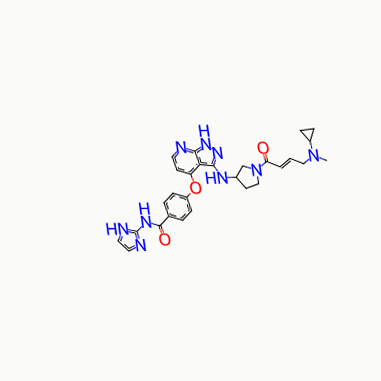 CN(C/C=C/C(=O)N1CCC(Nc2n[nH]c3nccc(Oc4ccc(C(=O)Nc5ncc[nH]5)cc4)c23)C1)C1CC1